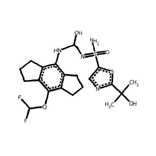 CC(C)(O)c1ncc(S(N)(=O)=NC(O)Nc2c3c(c(OC(F)F)c4c2CCC4)CCC3)s1